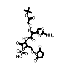 CC(C)(C)OC(=O)CON=C(C(=O)NC1C(=O)N(S(=O)(=O)O)C1CON1C(=O)CCC1=O)c1csc(N)n1